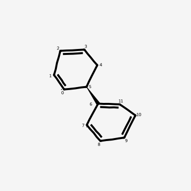 [C]1=CC=CC[C@H]1c1[c]cccc1